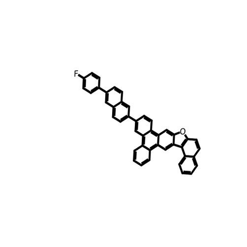 Fc1ccc(-c2ccc3cc(-c4ccc5c(c4)c4ccccc4c4cc6c(cc54)oc4ccc5ccccc5c46)ccc3c2)cc1